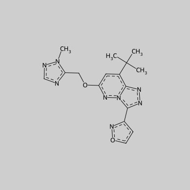 Cn1ncnc1COc1cc(C(C)(C)C)c2nnc(-c3ccon3)n2n1